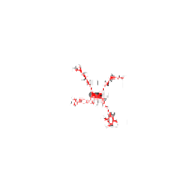 CC(O)NCCSCCS(=O)(=O)CCOC(=O)NCCOCCOCCNC(=O)C(CC(C)C(=O)NCCOCCOCCNCC(=O)N1CCN(CC(=O)O)CCN(CC(=O)O)CCN(CC(=O)O)CC1)CC(CC(CC(CC(C)C(=O)O)c1ccc2c(c1)CCc1ccc(C(CC(C)C(=O)O)CC(C)C(=O)O)cc1CC2)C(N)=O)C(=O)NCCOCCOCCNC(=O)OCCS(=O)(=O)CCSCC(C=O)NC(=O)CN